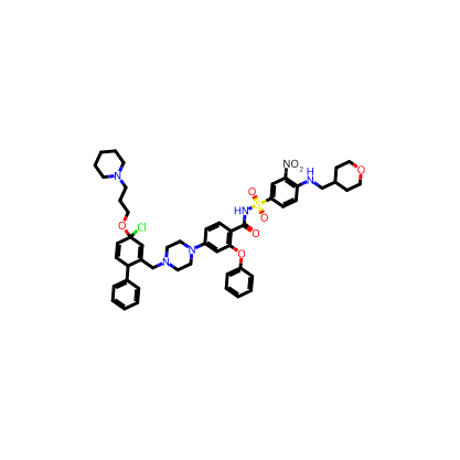 O=C(NS(=O)(=O)c1ccc(NCC2CCOCC2)c([N+](=O)[O-])c1)c1ccc(N2CCN(CC3=CC(Cl)(OCCCN4CCCCC4)C=CC3c3ccccc3)CC2)cc1Oc1ccccc1